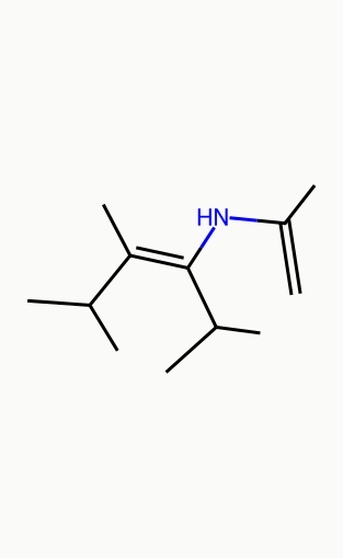 C=C(C)N/C(=C(\C)C(C)C)C(C)C